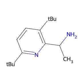 CC(N)c1nc(C(C)(C)C)ccc1C(C)(C)C